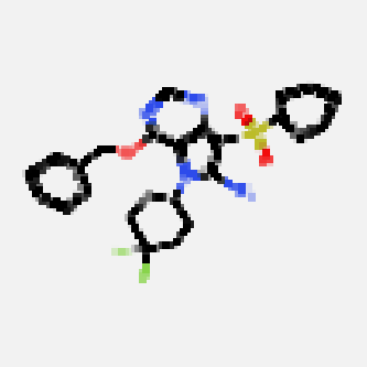 Nc1c(S(=O)(=O)c2ccccc2)c2ncnc(OCc3ccccc3)c2n1C1CCC(F)(F)CC1